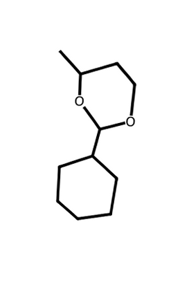 CC1CCOC(C2CCCCC2)O1